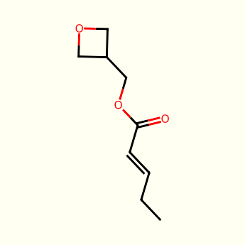 CCC=CC(=O)OCC1COC1